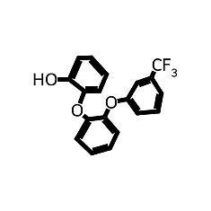 Oc1ccccc1Oc1ccccc1Oc1cccc(C(F)(F)F)c1